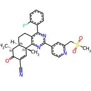 C[C@H]1C(=O)C(C#N)=C[C@@]2(C)c3nc(-c4ccnc(CS(C)(=O)=O)c4)nc(-c4ccccc4F)c3CC[C@H]12